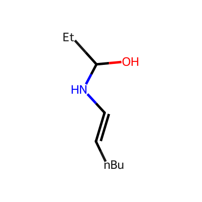 CCCCC=CNC(O)CC